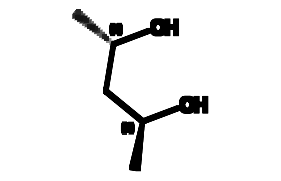 C[C@H](O)C[C@H](C)O